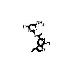 CCc1coc2c(Cl)nc(C(C)Sc3nc(N)cc(Cl)n3)cc12